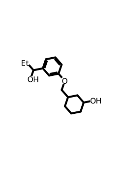 CCC(O)c1cccc(OCC2CCCC(O)C2)c1